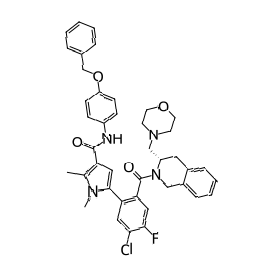 Cc1c(C(=O)Nc2ccc(OCc3ccccc3)cc2)cc(-c2cc(Cl)c(F)cc2C(=O)N2Cc3ccccc3C[C@H]2CN2CCOCC2)n1C